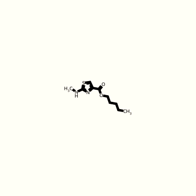 CCCCCOC(=O)c1csc(NC)n1